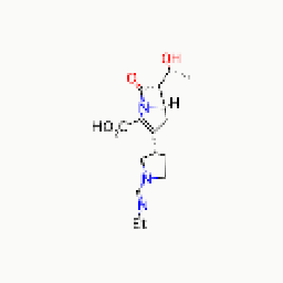 CC/N=C/N1CC[C@@H](C2=C(C(=O)O)N3C(=O)[C@H]([C@@H](C)O)[C@H]3C2)C1